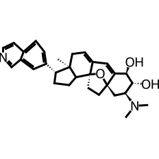 CN(C)[C@H]1C[C@@]23CC[C@@]4(O2)C(=CC[C@@]2(C)C4CC[C@@H]2c2ccc4ccncc4c2)C=C3[C@@H](O)[C@@H]1O